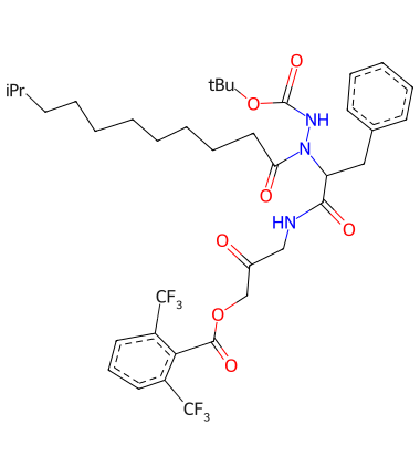 CC(C)CCCCCCCCC(=O)N(NC(=O)OC(C)(C)C)C(Cc1ccccc1)C(=O)NCC(=O)COC(=O)c1c(C(F)(F)F)cccc1C(F)(F)F